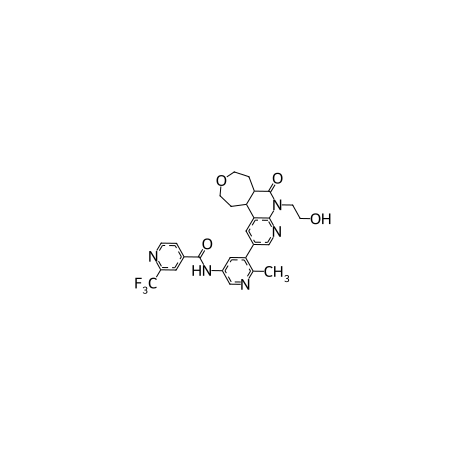 Cc1ncc(NC(=O)c2ccnc(C(F)(F)F)c2)cc1-c1cnc2c(c1)C1CCOCCC1C(=O)N2CCO